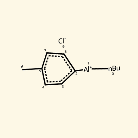 CCC[CH2][Al+][c]1ccc(C)cc1.[Cl-]